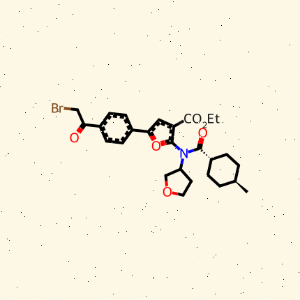 CCOC(=O)c1cc(-c2ccc(C(=O)CBr)cc2)oc1N(C(=O)[C@H]1CC[C@H](C)CC1)C1CCOC1